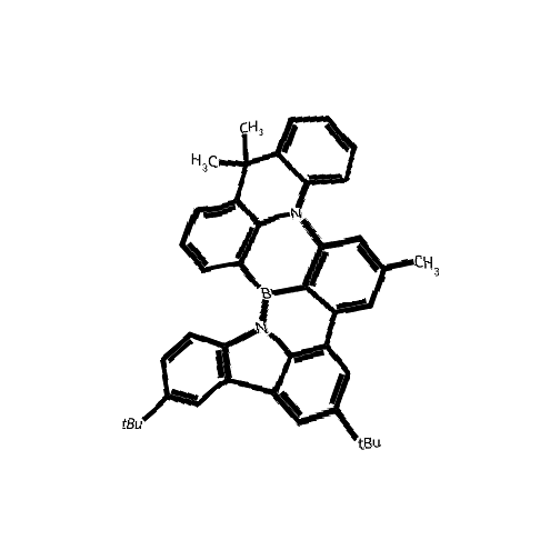 Cc1cc2c3c(c1)N1c4ccccc4C(C)(C)c4cccc(c41)B3n1c3ccc(C(C)(C)C)cc3c3cc(C(C)(C)C)cc-2c31